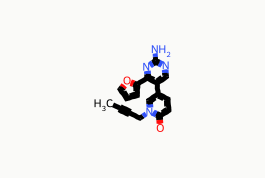 CC#CCn1cc(-c2cnc(N)nc2-c2ccco2)ccc1=O